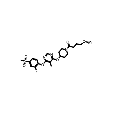 Cc1c(Oc2ccc(S(C)(=O)=O)cc2F)ncnc1OC1CCN(C(=O)CCCOC(C)C)CC1